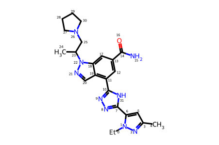 CCn1nc(C)cc1-c1nnc(-c2cc(C(N)=O)cc3c2cnn3C(C)CN2CCCC2)[nH]1